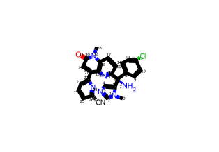 Cn1cncc1[C@@](N)(c1ccc(Cl)cc1)c1ccc2c(n1)c(-c1cccc(C#N)n1)cc(=O)n2C